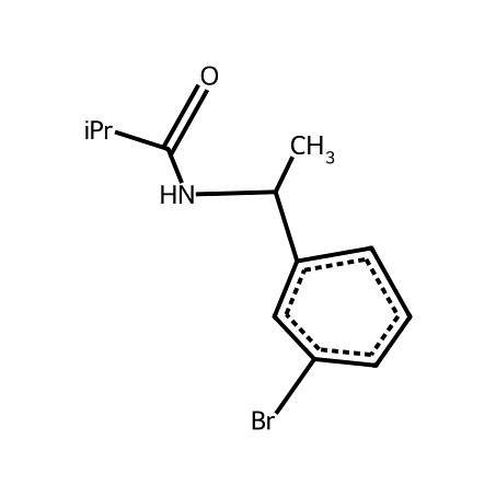 CC(C)C(=O)NC(C)c1cccc(Br)c1